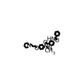 Cc1nc2ccc(NC(=O)c3ccccc3)cc2c(=O)n1-c1ccc(OCCCN2CCCCC2)cc1